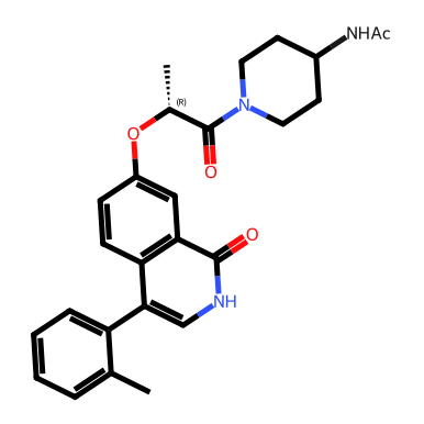 CC(=O)NC1CCN(C(=O)[C@@H](C)Oc2ccc3c(-c4ccccc4C)c[nH]c(=O)c3c2)CC1